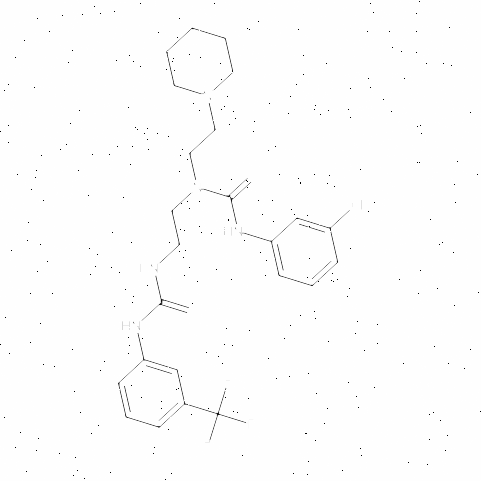 O=C(NCCN(CCN1CCCCC1)C(=O)Nc1cccc(Cl)c1)Nc1cccc(C(F)(F)F)c1